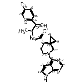 C[C@H](NC(=O)[C@H]1CCN(c2ncnc3[nH]ccc23)CC12CC2)[C@H](O)c1ccc(F)cn1